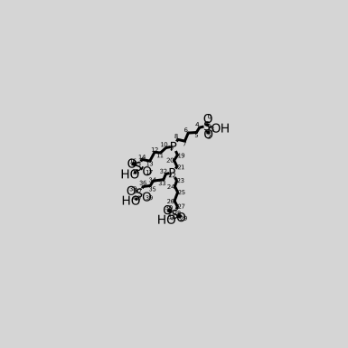 O=S(=O)(O)CCCCCP(CCCCCS(=O)(=O)O)CCCP(CCCCCS(=O)(=O)O)CCCCCS(=O)(=O)O